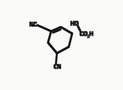 N#CC1=CCCC(C#N)C1.O=C(O)O